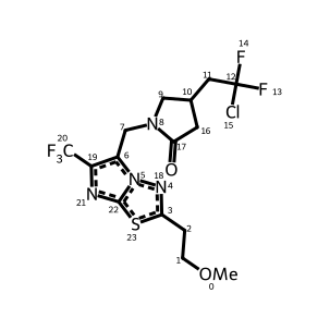 COCCc1nn2c(CN3CC(CC(F)(F)Cl)CC3=O)c(C(F)(F)F)nc2s1